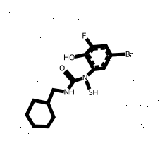 O=C(NCC1CCCCC1)N(S)c1cc(Br)cc(F)c1O